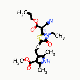 C=CCOC(=O)/C(C#N)=c1\sc(=C=Cc2c(C)[nH]c(C)c2C(=O)OC)c(=O)n1CC